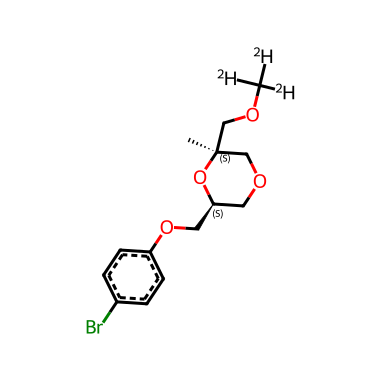 [2H]C([2H])([2H])OC[C@@]1(C)COC[C@@H](COc2ccc(Br)cc2)O1